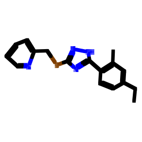 CCc1ccc(-c2nc(SCc3ccccn3)n[nH]2)c(C)c1